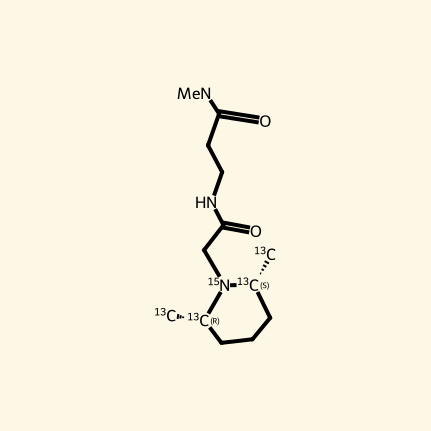 CNC(=O)CCNC(=O)C[15N]1[13C@H]([13CH3])CCC[13C@@H]1[13CH3]